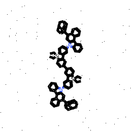 CC[Si]1(CC)c2ccc(-c3ccc4c(c3)-c3cc(-n5c6ccccc6c6c7ccccc7c(C7C8CC9CC(C8)CC7C9)cc65)ccc3[Si]4(CC)CC)cc2-c2cc(-n3c4ccccc4c4c5ccccc5c(C5C6CC7CC(C6)CC5C7)cc43)ccc21